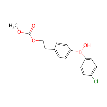 COC(=O)OCCc1ccc(B(O)c2ccc(Cl)cc2)cc1